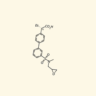 CC[C@H](C(=O)O)c1ccc(-c2cccc(S(=O)(=O)N(C)CC3CO3)c2)cc1